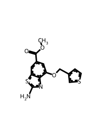 COC(=O)c1cc(OCc2ccsc2)c2nc(N)sc2c1